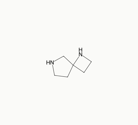 C1CC2(CCN2)CN1